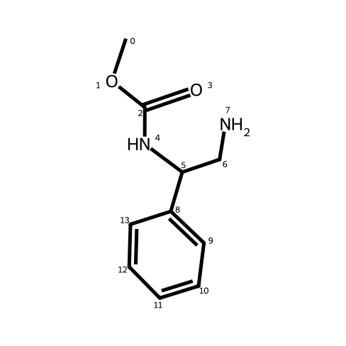 COC(=O)NC(CN)c1ccccc1